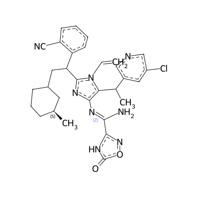 C=Cn1c(C(CC2CCC[C@H](C)C2)c2ccccc2C#N)nc(/N=C(\N)c2noc(=O)[nH]2)c1C(C)c1cncc(Cl)c1